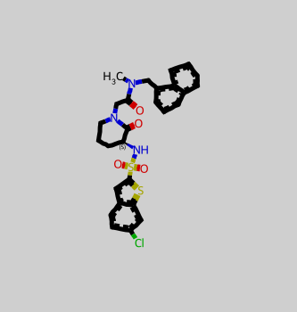 CN(Cc1cccc2ccccc12)C(=O)CN1CCC[C@H](NS(=O)(=O)c2cc3ccc(Cl)cc3s2)C1=O